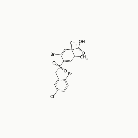 CC1C=C(S(=O)(=O)Cc2cc(Cl)ccc2Br)C(Br)=CC1(C)C(=O)O